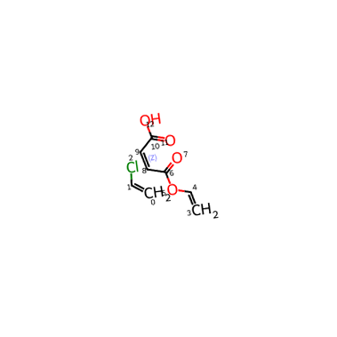 C=CCl.C=COC(=O)/C=C\C(=O)O